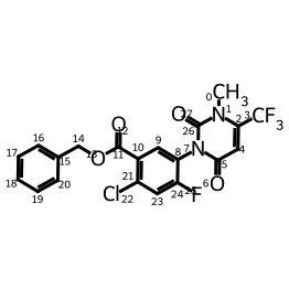 Cn1c(C(F)(F)F)cc(=O)n(-c2cc(C(=O)OCc3ccccc3)c(Cl)cc2F)c1=O